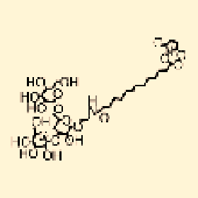 O=C(CCCCCCCCCCCCC(=O)ON1C(=O)CCC1=O)NCCOC1OC(CO[C@H]2OC(CO)[C@@H](O)C(O)C2O)CC(O[C@H]2OC(CO)[C@@H](O)C(O)C2O)C1O